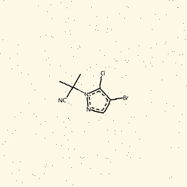 CC(C)(C#N)n1ncc(Br)c1Cl